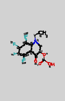 CCn1cc(OC(=O)O)c(=O)c2c(F)c(F)c(F)c(F)c21